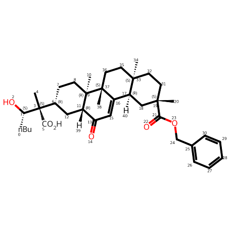 CCCC[C@H](O)[C@@](C)(C(=O)O)[C@@H]1CC[C@]2(C)[C@@H](C1)C(=O)C=C1[C@@H]3C[C@@](C)(C(=O)OCc4ccccc4)CC[C@]3(C)CC[C@]12C